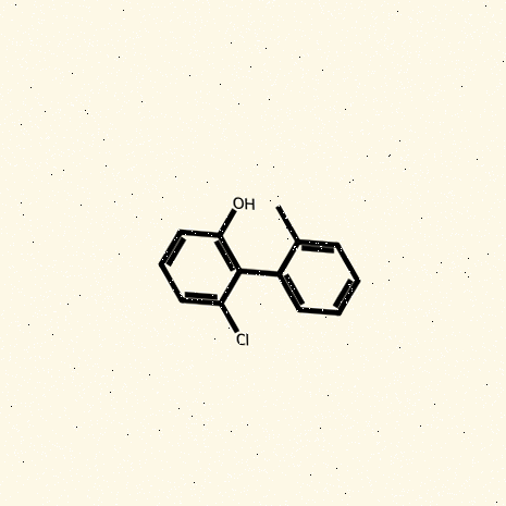 Cc1ccccc1-c1c(O)cccc1Cl